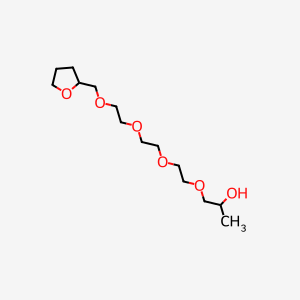 CC(O)COCCOCCOCCOCC1CCCO1